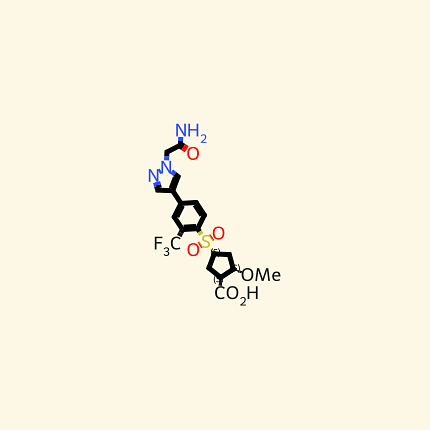 CO[C@H]1C[C@@H](S(=O)(=O)c2ccc(-c3cnn(CC(N)=O)c3)cc2C(F)(F)F)C[C@@H]1C(=O)O